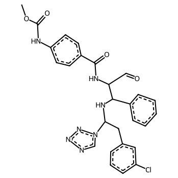 COC(=O)Nc1ccc(C(=O)NC(C=O)C(NC(Cc2cccc(Cl)c2)n2cnnn2)c2ccccc2)cc1